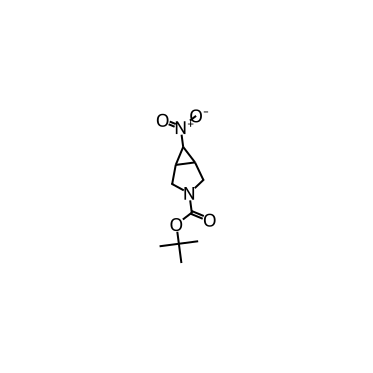 CC(C)(C)OC(=O)N1CC2C(C1)C2[N+](=O)[O-]